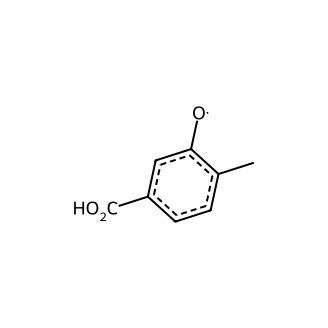 Cc1ccc(C(=O)O)cc1[O]